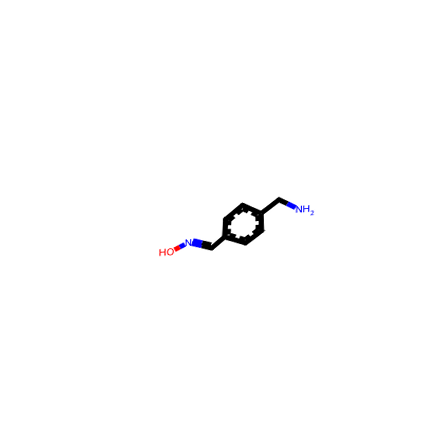 NCc1[c]cc(C=NO)cc1